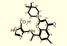 Cc1cc(C(C)Nc2nc[nH]c2C(=O)O)c2oc(N3CCC(C)(C)CC3)cc(=O)c2c1